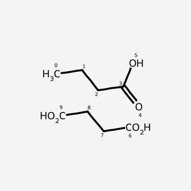 CCCC(=O)O.O=C(O)CCC(=O)O